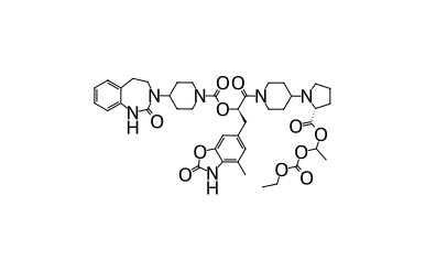 CCOC(=O)OC(C)OC(=O)[C@H]1CCCN1C1CCN(C(=O)[C@@H](Cc2cc(C)c3[nH]c(=O)oc3c2)OC(=O)N2CCC(N3CCc4ccccc4NC3=O)CC2)CC1